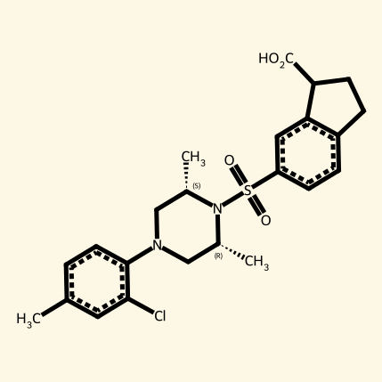 Cc1ccc(N2C[C@@H](C)N(S(=O)(=O)c3ccc4c(c3)C(C(=O)O)CC4)[C@@H](C)C2)c(Cl)c1